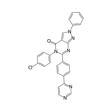 O=c1c2cn(-c3ccccc3)nc2nc(-c2ccc(-c3ccncn3)cc2)n1-c1ccc(Cl)cc1